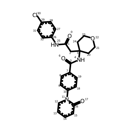 O=C(CC1(NC(=O)c2ccc(-n3ccccc3=O)cc2)CCOCC1)Nc1ccc(Cl)cc1